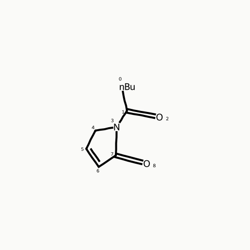 CCCCC(=O)N1CC=CC1=O